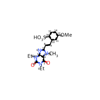 CCn1c(=O)c2c(nc(/C=C/c3cc(OC)ccc3S(=O)(=O)O)n2C)n(CC)c1=O